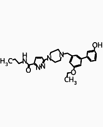 CCCNC(=O)c1ccc(N2CCN(Cc3cc(OCC)cc(-c4cccc(O)c4)c3)CC2)nn1